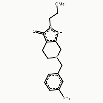 COCCn1[nH]c2c(c1=O)CCN(Cc1cccc(N)c1)C2